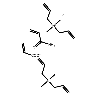 C=CC(=O)[O-].C=CC(N)=O.C=CC[N+](C)(C)CC=C.C=CC[N+](C)(C)CC=C.[Cl-]